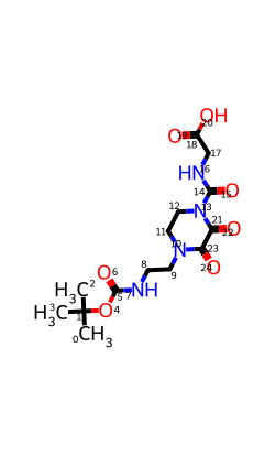 CC(C)(C)OC(=O)NCCN1CCN(C(=O)NCC(=O)O)C(=O)C1=O